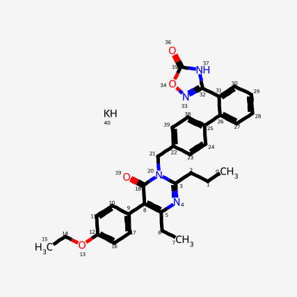 CCCc1nc(CC)c(-c2ccc(OCC)cc2)c(=O)n1Cc1ccc(-c2ccccc2-c2noc(=O)[nH]2)cc1.[KH]